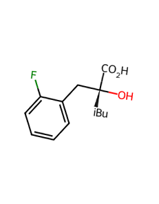 CCC(C)[C@@](O)(Cc1ccccc1F)C(=O)O